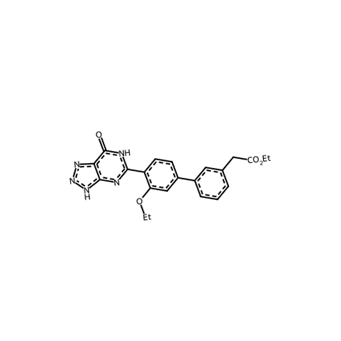 CCOC(=O)Cc1cccc(-c2ccc(-c3nc4[nH]nnc4c(=O)[nH]3)c(OCC)c2)c1